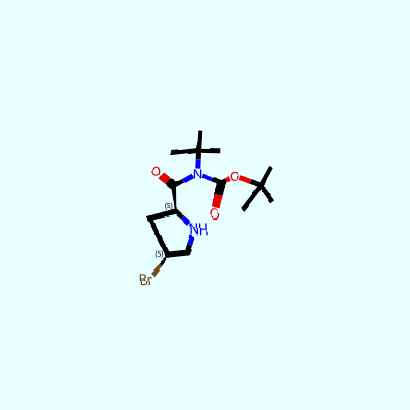 CC(C)(C)OC(=O)N(C(=O)[C@@H]1C[C@H](Br)CN1)C(C)(C)C